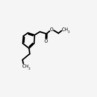 CCCc1cccc(CC(=O)OCC)c1